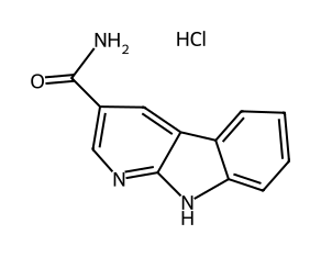 Cl.NC(=O)c1cnc2[nH]c3ccccc3c2c1